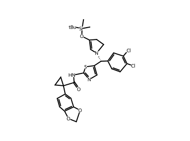 CC(C)(C)[Si](C)(C)OC1=CN([C@H](c2ccc(Cl)c(Cl)c2)c2cnc(NC(=O)C3(c4ccc5c(c4)OCO5)CC3)s2)CC1